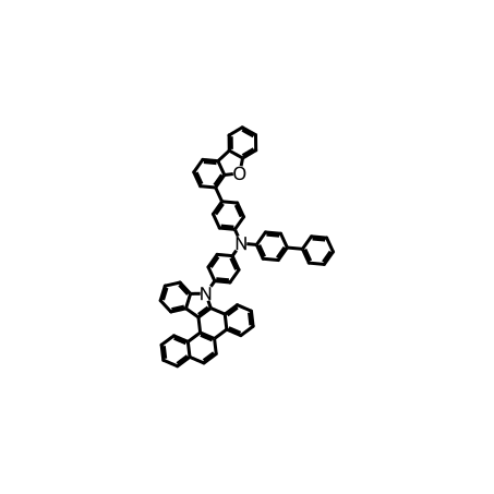 c1ccc(-c2ccc(N(c3ccc(-c4cccc5c4oc4ccccc45)cc3)c3ccc(-n4c5ccccc5c5c6c7ccccc7ccc6c6ccccc6c54)cc3)cc2)cc1